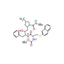 CC1CC(CC(O)C(Cc2ccccc2)NC(=O)C(CSc2ccc3ccccc3c2)NC(=O)OC(C)(C)C)C(C(=O)NC(C)(C)C)C1